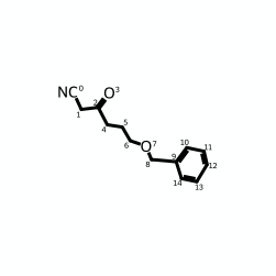 N#CCC(=O)CCCOCc1ccccc1